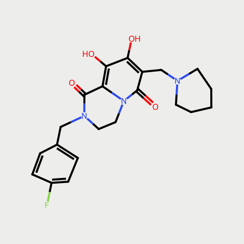 O=C1c2c(O)c(O)c(CN3CCCCC3)c(=O)n2CCN1Cc1ccc(F)cc1